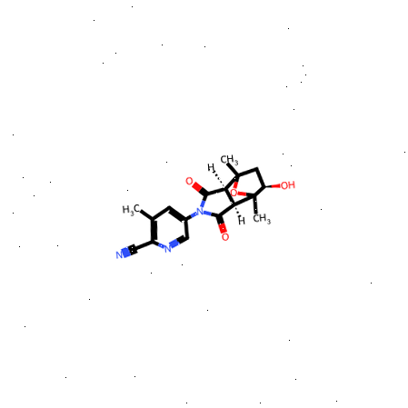 Cc1cc(N2C(=O)[C@@H]3[C@H](C2=O)C2(C)OC3(C)C[C@H]2O)cnc1C#N